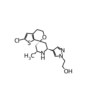 C[C@H]1C[C@@]2(C[C@@H](c3cnn(CCO)c3)N1)OCCc1cc(Cl)sc12